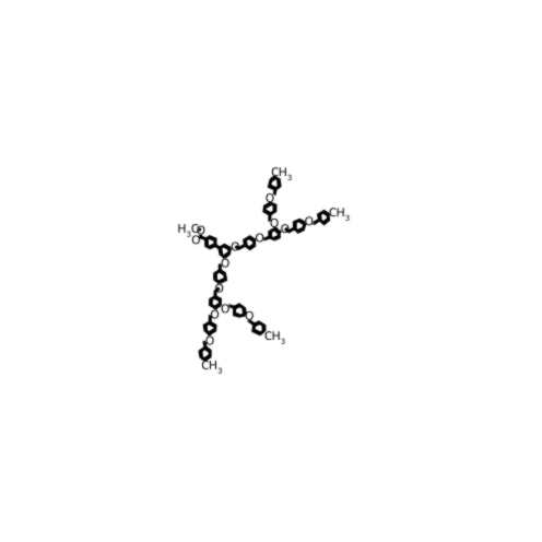 COC(=O)c1ccc(-c2cc(OCc3ccc(OCc4ccc(OCc5ccc(OCc6ccc(C)cc6)cc5)c(OCc5ccc(OCc6ccc(C)cc6)cc5)c4)cc3)cc(OCc3ccc(OCc4ccc(OCc5ccc(OCc6ccc(C)cc6)cc5)c(OCc5ccc(OCc6ccc(C)cc6)cc5)c4)cc3)c2)cc1